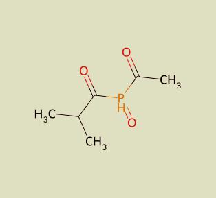 CC(=O)[PH](=O)C(=O)C(C)C